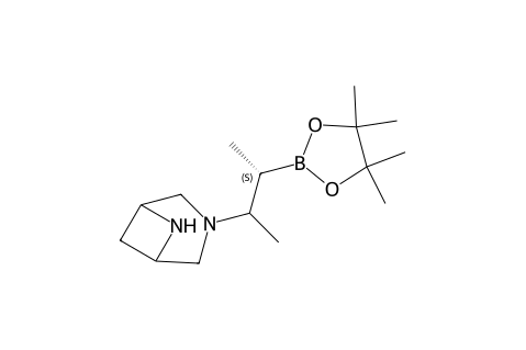 CC([C@H](C)B1OC(C)(C)C(C)(C)O1)N1CC2CC(C1)N2